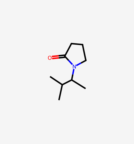 CC(C)C(C)N1CCCC1=O